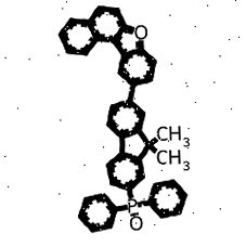 CC1(C)c2cc(-c3ccc4oc5ccc6ccccc6c5c4c3)ccc2-c2ccc(P(=O)(c3ccccc3)c3ccccc3)cc21